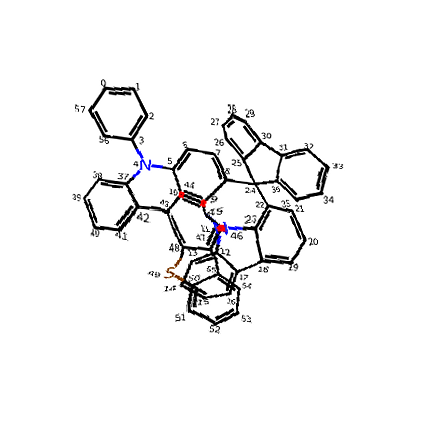 c1ccc(N(c2ccc3c(c2)-n2c4ccccc4c4cccc(c42)C32c3ccccc3-c3ccccc32)c2ccccc2-c2cccc3c2sc2ccccc23)cc1